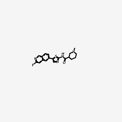 CN1CCCC(C(=O)Nc2ncc(-c3ccc4cnc(F)cc4c3)s2)C1